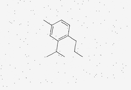 [CH2]C(C)c1cc(C)ccc1CCC